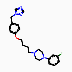 Fc1cccc(N2CCN(CCCCOc3ccc(Cn4cncn4)cc3)CC2)c1